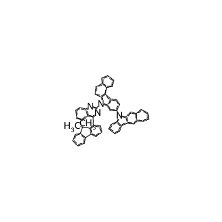 CC1(C)c2ccccc2-c2cccc(-c3nc(-n4c5cc(-n6c7ccccc7c7cc8ccccc8cc76)ccc5c5c6ccccc6ccc54)nc4ccccc34)c21